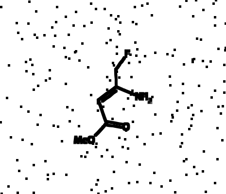 COC(=O)/C=C(\N)CF